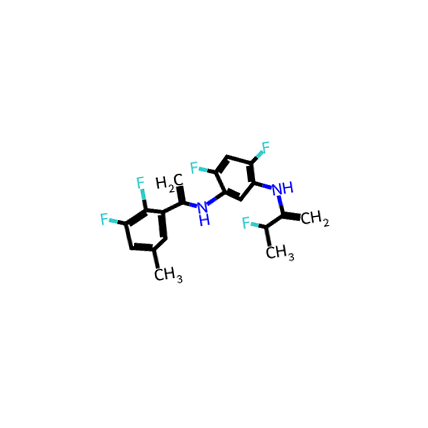 C=C(Nc1cc(NC(=C)C(C)F)c(F)cc1F)c1cc(C)cc(F)c1F